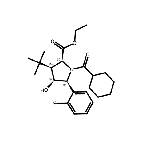 CCOC(=O)[C@@H]1[C@H](C(C)(C)C)[C@H](O)[C@H](c2ccccc2F)N1C(=O)C1CCCCC1